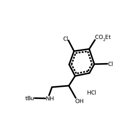 CCOC(=O)c1c(Cl)cc(C(O)CNC(C)(C)C)cc1Cl.Cl